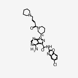 Nc1ncnc2c1c(C(=O)Nc1nc3cc(Cl)ccc3o1)nn2[C@@H]1CCCN(C(=O)C=CCN2CCCCC2)C1